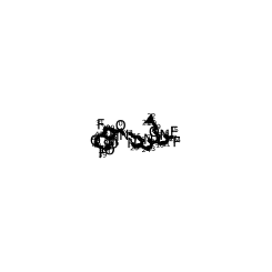 O=C(NCc1cc2nc(-c3ccc(C(F)F)nc3OCC3CC3)ccc2cn1)c1cc(F)c2c(c1)S(=O)(=O)[C@@H](F)COC2